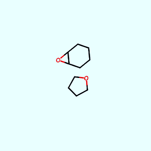 C1CCC2OC2C1.C1CCOC1